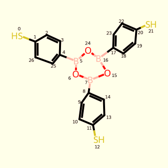 Sc1ccc(B2OB(c3ccc(S)cc3)OB(c3ccc(S)cc3)O2)cc1